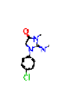 CN=C1N(C)C(=O)CN1c1ccc(Cl)cc1